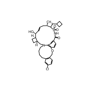 C[C@@H]1C/C=C/[C@H](O)[C@@H]2CC[C@H]2CN2CCCCc3cc(Cl)ccc3COc3ccc(cc32)C(=O)NS(=O)(=O)C1CC1CCC1